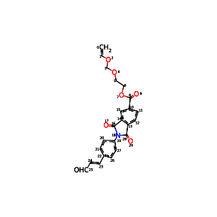 C=COCOCCOC(=O)c1ccc2c(c1)C(=O)N(c1ccc(C=CC=O)cc1)C2=O